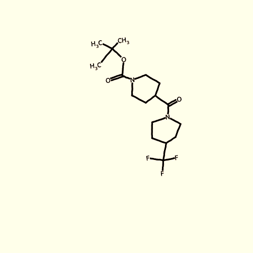 CC(C)(C)OC(=O)N1CCC(C(=O)N2CCC(C(F)(F)F)CC2)CC1